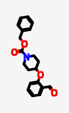 O=Cc1ccccc1OC1CCN(C(=O)OCc2ccccc2)CC1